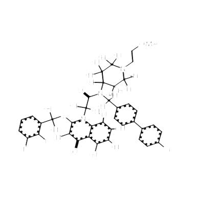 [2H]c1c(C)c([2H])c2c(c1[2H])c(=O)c([2H])c(SC([2H])([2H])c1cccc(F)c1F)n2C([2H])([2H])C(=O)N(C([2H])([2H])c1ccc(-c2ccc(C(F)(F)F)cc2)cc1)C1([2H])C([2H])([2H])C([2H])([2H])N(CCOC)C([2H])([2H])C1([2H])[2H]